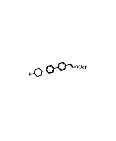 CCCCCCCCC=Cc1ccc(-c2ccc([C@H]3CC[C@H](F)CC3)cc2)cc1